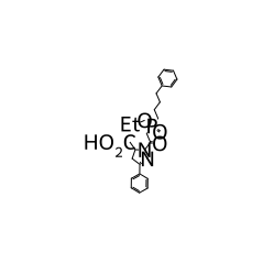 CCOP(=O)(CCCCc1ccccc1)CC(=O)N1N=C(c2ccccc2)CC1C(=O)O